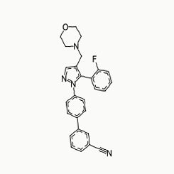 N#Cc1cccc(-c2ccc(-n3ncc(CN4CCOCC4)c3-c3ccccc3F)cc2)c1